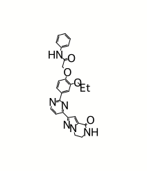 CCOc1cc(-c2nccc(-c3cc4n(n3)CCNC4=O)n2)ccc1OCC(=O)Nc1ccccc1